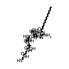 CCCCCCCCCCCCC/C=C/C(=O)c1nc(N)c2ncn([C@@H]3O[C@H](COP(=O)(O)OP(=O)(O)OCC(C)(C)C(O)C(=O)NCCC(=O)NCCS)[C@@H](OP(=O)(O)O)[C@H]3O)c2n1